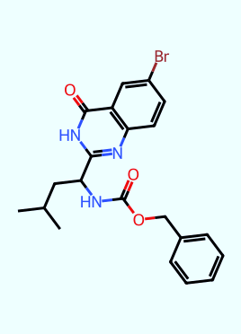 CC(C)CC(NC(=O)OCc1ccccc1)c1nc2ccc(Br)cc2c(=O)[nH]1